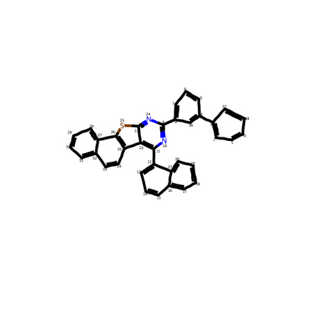 c1ccc(-c2cccc(-c3nc(-c4cccc5ccccc45)c4c(n3)sc3c5ccccc5ccc34)c2)cc1